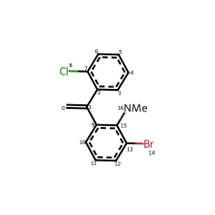 C=C(c1ccccc1Cl)c1cccc(Br)c1NC